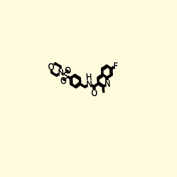 Cc1nc2cc(F)ccc2cc1C(=O)NCc1ccc(S(=O)(=O)N2CCOCC2)cc1